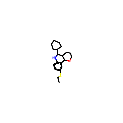 CCSc1ccc2c(c1)C1OCCCC1C(C1CCCCC1)N2